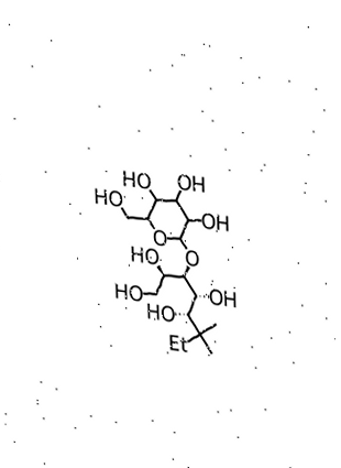 CCC(C)(C)[C@H](O)[C@@H](O)[C@H](OC1OC(CO)C(O)C(O)C1O)[C@H](O)CO